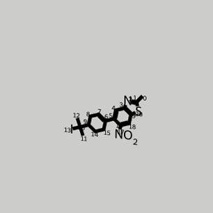 Cc1nc2cc(C3=CCC(C(C)(C)I)CC3)c([N+](=O)[O-])cc2s1